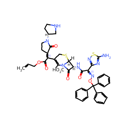 C=CCOC(=O)/C(C1=C(C(=O)O)N2C(=O)[C@@H](NC(=O)/C(=N\OC(c3ccccc3)(c3ccccc3)c3ccccc3)c3nsc(N)n3)[C@H]2SC1)=C1\CCN([C@@H]2CCNC2)C1=O